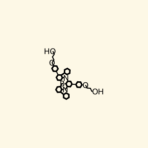 OCCCOc1ccc(-c2cc3c4c(c2)-n2c5ccccc5c5c(-c6ccc(OCCCO)cc6)ccc(c52)B4c2cccc4c5ccccc5n-3c24)cc1